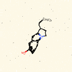 O=CC[C@H]1CCn2c1cc1cc(O)ccc12